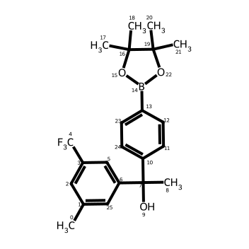 Cc1cc(C(F)(F)F)cc(C(C)(O)c2ccc(B3OC(C)(C)C(C)(C)O3)cc2)c1